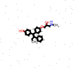 CC/C(=C(\c1ccc(O)cc1)c1ccc(OCC(O)CNC)cc1)c1ccccc1